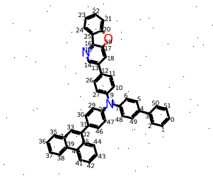 c1ccc(-c2ccc(N(c3ccc(-c4cnc5c(c4)oc4ccccc45)cc3)c3ccc(-c4cc5ccccc5c5ccccc45)cc3)cc2)cc1